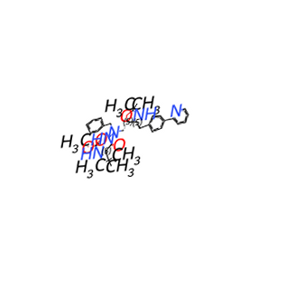 COC(=O)N[C@H](C(=O)NN(Cc1ccccc1)C[C@@H]1OC(C)(C)N[C@H]1Cc1ccc(-c2ccccn2)cc1)C(C)(C)C